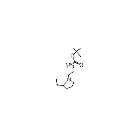 CCC1CCCN1CCNC(=O)OC(C)(C)C